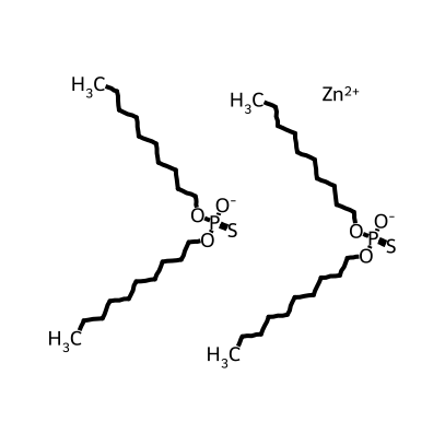 CCCCCCCCCCOP([O-])(=S)OCCCCCCCCCC.CCCCCCCCCCOP([O-])(=S)OCCCCCCCCCC.[Zn+2]